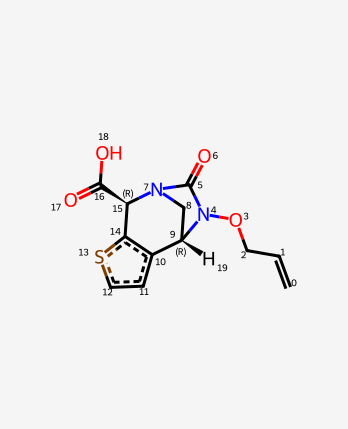 C=CCON1C(=O)N2C[C@H]1c1ccsc1[C@H]2C(=O)O